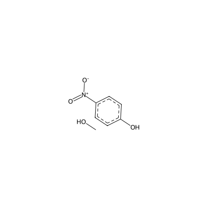 CO.O=[N+]([O-])c1ccc(O)cc1